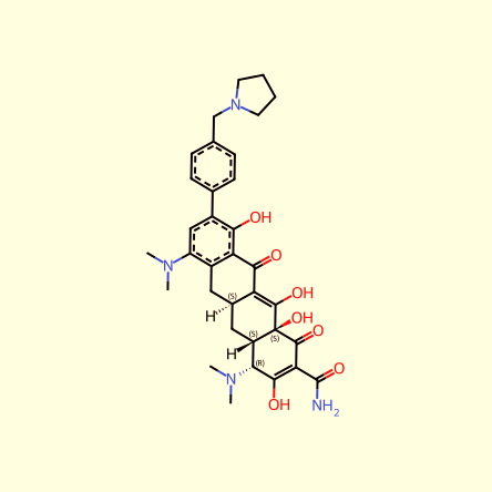 CN(C)c1cc(-c2ccc(CN3CCCC3)cc2)c(O)c2c1C[C@@H]1C[C@H]3[C@@H](N(C)C)C(O)=C(C(N)=O)C(=O)[C@@]3(O)C(O)=C1C2=O